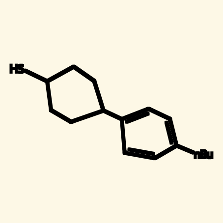 CCCCc1ccc(C2CCC(S)CC2)cc1